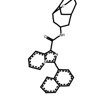 O=C(NC1CC2CC3CC(C2)C(C3)C1)c1nc(-c2cccc3ccccc23)n2ccccc12